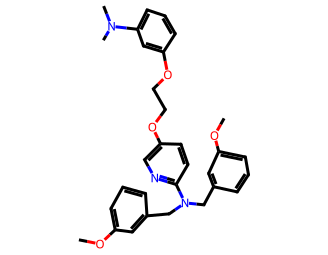 COc1cccc(CN(Cc2cccc(OC)c2)c2ccc(OCCOc3cccc(N(C)C)c3)cn2)c1